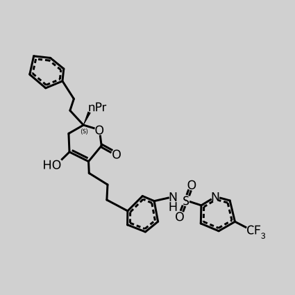 CCC[C@]1(CCc2ccccc2)CC(O)=C(CCCc2cccc(NS(=O)(=O)c3ccc(C(F)(F)F)cn3)c2)C(=O)O1